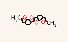 Cc1cc2ccc3c(oc4c5ccc6cc(C)oc6c5oc34)c2o1